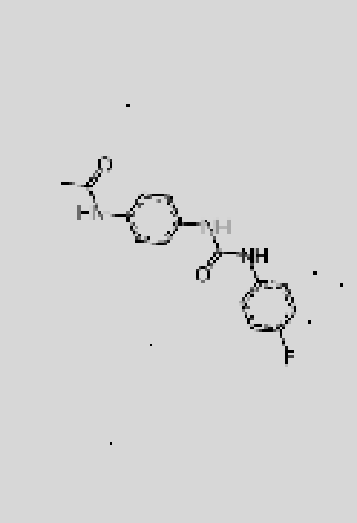 CC(=O)Nc1ccc(NC(=O)Nc2ccc(F)cc2)cc1